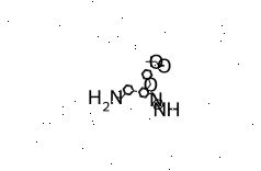 CC(C)(C)OC=O.NCc1cccc(-c2ccc(CN3CCNCC3)c(Oc3ccccc3)c2)c1